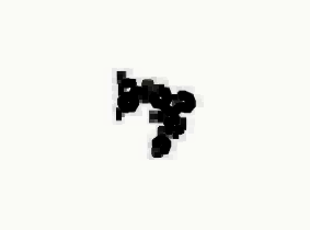 O=C(Nc1cc(-c2[nH]c3c(O[C@H]4CCOC4)ncnc3c2-c2ccccn2)ccn1)[C@@H](CC(F)F)c1ccc(F)cc1